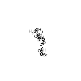 CN(C)CCNC(=O)c1cnc(-c2cc(Oc3cccc(CCNC(=O)c4cccc(Br)c4)c3)ccn2)[nH]1